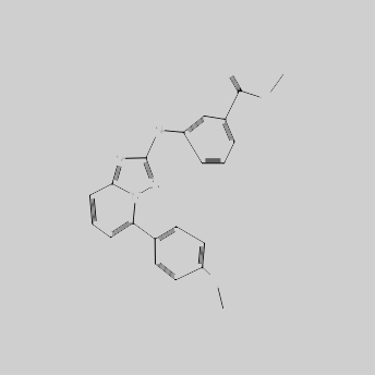 COC(=O)c1cccc(Nc2nc3cccc(-c4ccc(OC)cc4)n3n2)c1